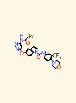 CC(C)C(=O)Nc1cc(Oc2ccc3c(ccn3C(=O)Nc3ccc(N4CCOCC4)c(C(F)(F)F)c3)c2)ncn1